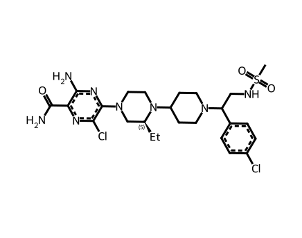 CC[C@H]1CN(c2nc(N)c(C(N)=O)nc2Cl)CCN1C1CCN(C(CNS(C)(=O)=O)c2ccc(Cl)cc2)CC1